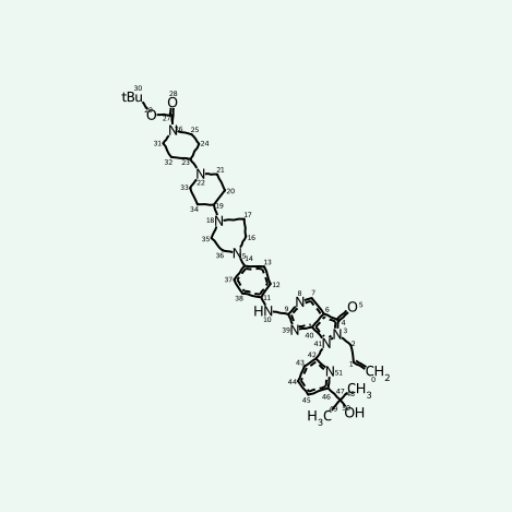 C=CCn1c(=O)c2cnc(Nc3ccc(N4CCN(C5CCN(C6CCN(C(=O)OC(C)(C)C)CC6)CC5)CC4)cc3)nc2n1-c1cccc(C(C)(C)O)n1